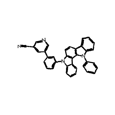 N#Cc1cncc(-c2cccc(-n3c4ccccc4c4c3ccc3c5ccccc5n(-c5ccccc5)c34)c2)c1